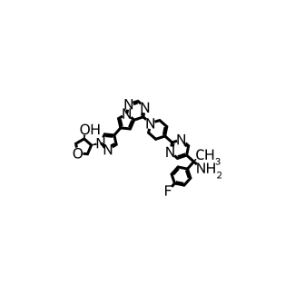 C[C@](N)(c1ccc(F)cc1)c1cnc(C2=CCN(c3ncnn4cc(-c5cnn([C@H]6COC[C@H]6O)c5)cc34)CC2)nc1